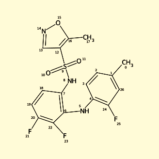 Cc1ccc(Nc2c(NS(=O)(=O)c3cnoc3C)ccc(F)c2F)c(F)c1